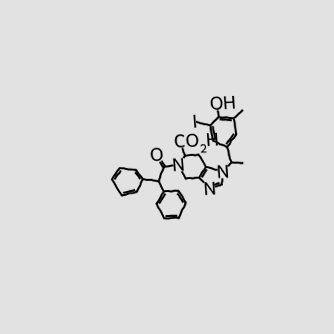 Cc1cc(C(C)n2cnc3c2CC(C(=O)O)N(C(=O)C(c2ccccc2)c2ccccc2)C3)cc(I)c1O